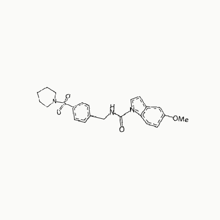 COc1ccc2c(ccn2C(=O)NCc2ccc(S(=O)(=O)N3CCCCC3)cc2)c1